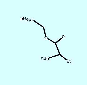 CCCCCCCCOC([O])C(CC)CCCC